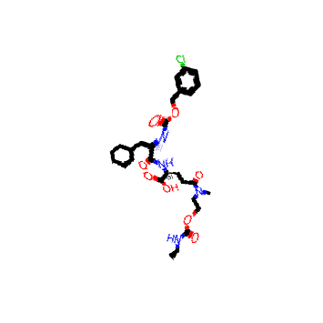 CCNC(=O)OCCN(C)C(=O)CC[C@H](NC(=O)/C(CC1CCCCC1)=N/C(=O)OCc1cccc(Cl)c1)C(=O)O